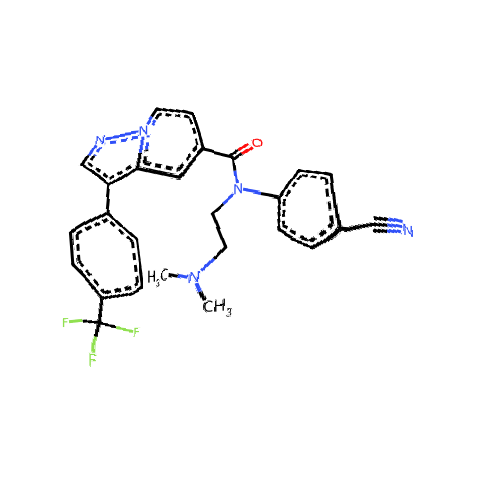 CN(C)CCN(C(=O)c1ccn2ncc(-c3ccc(C(F)(F)F)cc3)c2c1)c1ccc(C#N)cc1